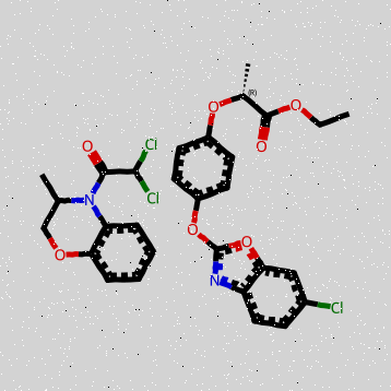 CC1COc2ccccc2N1C(=O)C(Cl)Cl.CCOC(=O)[C@@H](C)Oc1ccc(Oc2nc3ccc(Cl)cc3o2)cc1